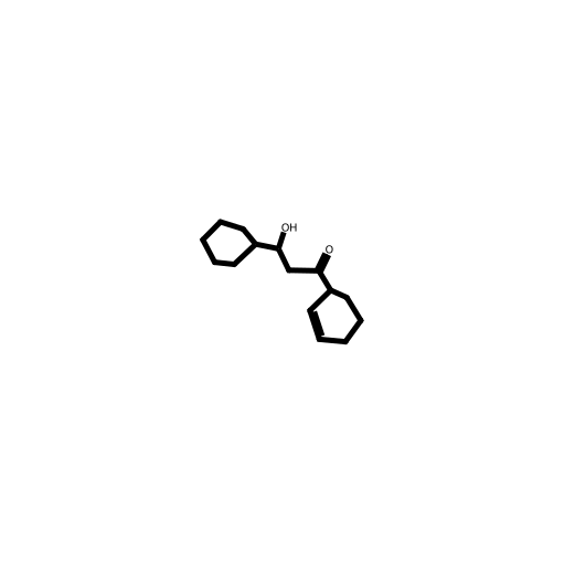 O=C(CC(O)C1CCCCC1)C1C=CCCC1